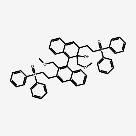 COCc1c(CCP(=O)(c2ccccc2)c2ccccc2)cc2ccccc2c1C1=c2ccccc2=CC(CCP(=O)(c2ccccc2)c2ccccc2)C1(O)COC